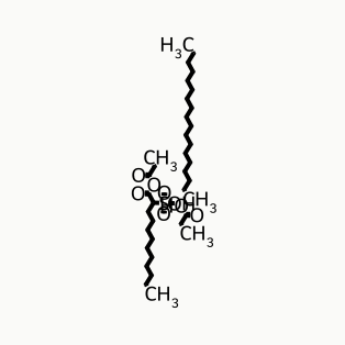 CCC(=O)O.CCCCCCCCCCC(C(=O)OC(=O)CC)S(=O)(=O)O.CCCCCCCCCCCCCCCCCC